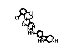 O=C1c2cnc(Nc3ccc4c5c([nH]c4c3)CNCC5)nc2OCN1c1c(Cl)cccc1Cl